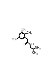 Cc1c(CC(=O)NCC(C)N)cc(C(C)(C)C)cc1C(C)(C)C